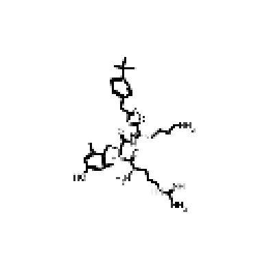 Cc1cc(O)cc(C)c1C[C@H](NC(=O)[C@H](N)CCCNC(=N)N)C(=O)N[C@@H](CCCCN)c1nc(Cc2ccc(C(C)(C)C)cc2)no1